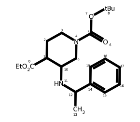 CCOC(=O)C1CCN(C(=O)OC(C)(C)C)CC1NC(C)c1ccccc1